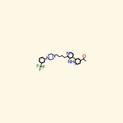 CC(=O)c1cccc(-c2ccnc(CCCCN3CCN(c4cccc(C(F)(F)F)c4)CC3)c2N)c1